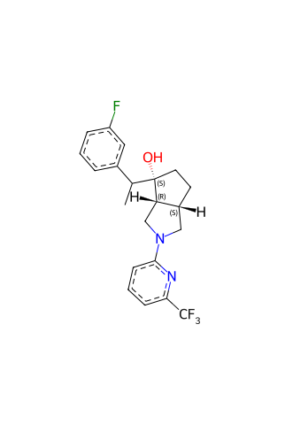 CC(c1cccc(F)c1)[C@@]1(O)CC[C@@H]2CN(c3cccc(C(F)(F)F)n3)C[C@@H]21